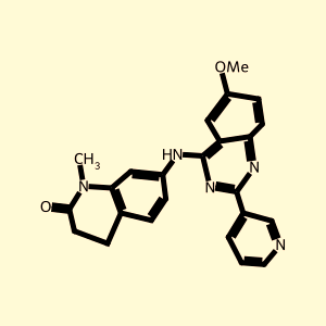 COc1ccc2nc(-c3cccnc3)nc(Nc3ccc4c(c3)N(C)C(=O)CC4)c2c1